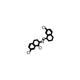 O=C1/C(=N/OC2CCCc3ccc(Cl)cc32)CCc2ccc(Cl)cc21